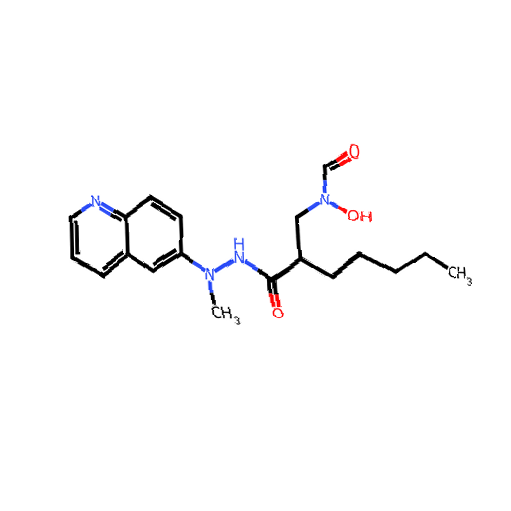 CCCCCC(CN(O)C=O)C(=O)NN(C)c1ccc2ncccc2c1